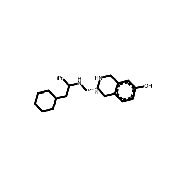 CC(C)C(CC1CCCCC1)NC[C@H]1Cc2ccc(O)cc2CN1